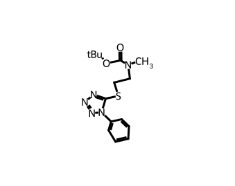 CN(CCSc1nnnn1-c1ccccc1)C(=O)OC(C)(C)C